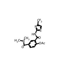 CC(=O)Oc1ccc(C(=O)N(C)C)cc1C(=O)Nc1nc(C(F)(F)F)cs1